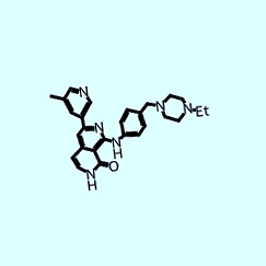 CCN1CCN(Cc2ccc(Nc3nc(-c4cncc(C)c4)cc4cc[nH]c(=O)c34)cc2)CC1